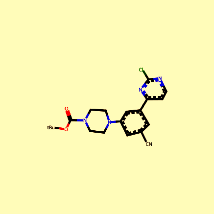 CC(C)(C)OC(=O)N1CCN(c2cc(C#N)cc(-c3ccnc(Cl)n3)c2)CC1